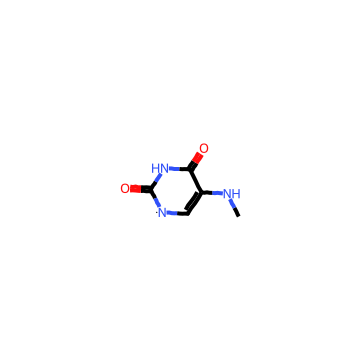 CNC1=C[N]C(=O)NC1=O